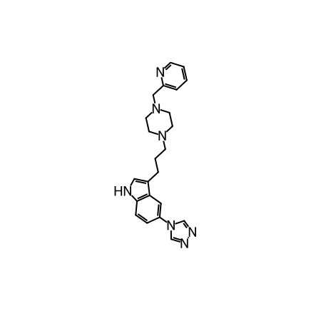 c1ccc(CN2CCN(CCCc3c[nH]c4ccc(-n5cnnc5)cc34)CC2)nc1